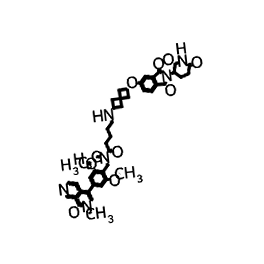 COc1cc(-c2cn(C)c(=O)c3cnccc23)cc(OC)c1CN(C)C(=O)CCCCNC1CC2(C1)CC(Oc1ccc3c(c1)C(=O)N(C1CCC(=O)NC1=O)C3=O)C2